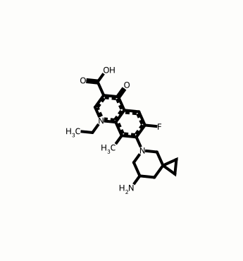 CCn1cc(C(=O)O)c(=O)c2cc(F)c(N3CC(N)CC4(CC4)C3)c(C)c21